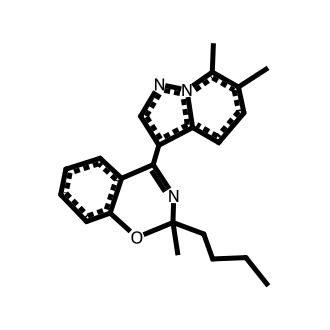 CCCCC1(C)N=C(c2cnn3c(C)c(C)ccc23)c2ccccc2O1